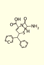 NC1C(=O)N2C(C(=O)O)=CC(C(c3ccccc3)c3ccccc3)S[C@H]12